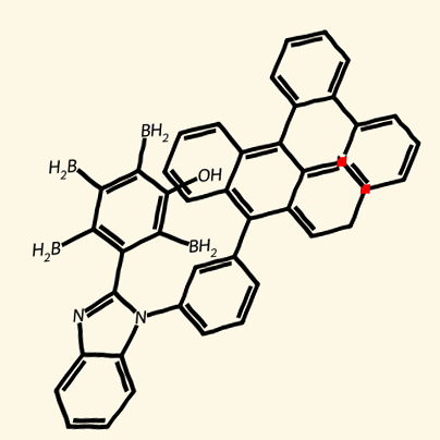 Bc1c(B)c(O)c(B)c(-c2nc3ccccc3n2-c2cccc(-c3c4c(c(-c5ccccc5-c5ccccn5)c5ccccc35)=CCCC=4)c2)c1B